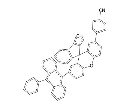 N#Cc1ccc(-c2ccc3c(c2)C2(c4cc(-c5c6ccccc6c(-c6ccccc6)c6ccccc56)ccc4O3)c3ccccc3-c3ccccc32)cc1